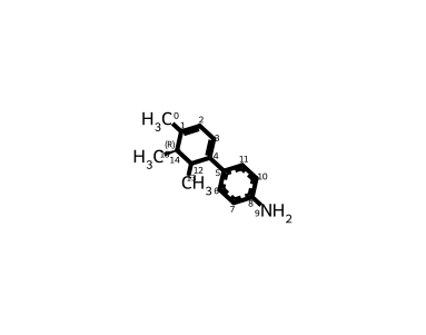 CC1=CC=C(c2ccc(N)cc2)C(C)[C@H]1C